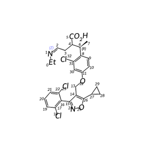 CC/N=C\CC(C(=O)O)[C@@H](C)c1ccc(OCc2c(-c3c(Cl)cccc3Cl)noc2C2CC2)cc1Cl